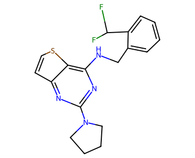 FC(F)c1ccccc1CNc1nc(N2CCCC2)nc2ccsc12